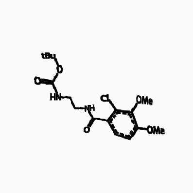 COc1ccc(C(=O)NCCNC(=O)OC(C)(C)C)c(Cl)c1OC